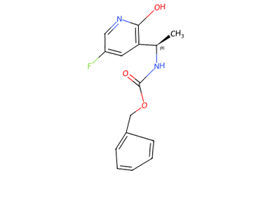 C[C@@H](NC(=O)OCc1ccccc1)c1cc(F)cnc1O